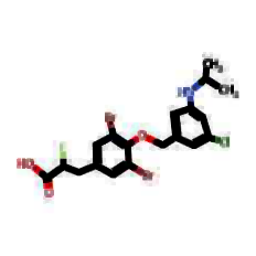 CC(C)Nc1cc(Cl)cc(COc2c(Br)cc(CC(F)C(=O)O)cc2Br)c1